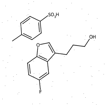 Cc1ccc(S(=O)(=O)O)cc1.OCCCc1coc2ccc(F)cc12